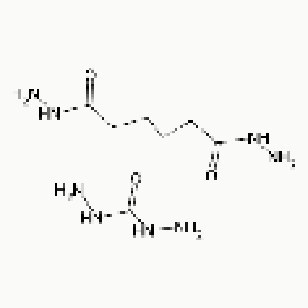 NNC(=O)CCCCC(=O)NN.NNC(=O)NN